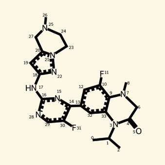 CC(C)N1C(=O)CN(C)c2c(F)cc(-c3nc(Nc4cc5n(n4)CCN(C)C5)ncc3F)cc21